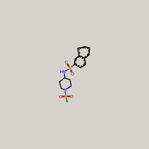 CS(=O)(=O)N1CCC(NS(=O)(=O)c2ccc3ccccc3c2)CC1